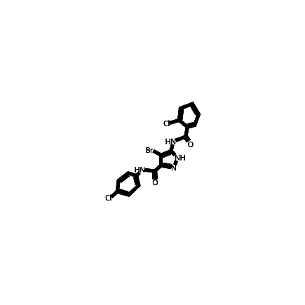 O=C(Nc1[nH]nc(C(=O)Nc2ccc(Cl)cc2)c1Br)c1ccccc1Cl